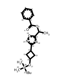 CC(OC(=O)c1ccccc1)c1nc(C2CC(O[Si](C)(C)C(C)(C)C)C2)no1